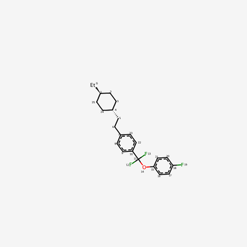 CC[C@H]1CC[C@H](CCc2ccc(C(F)(F)Oc3ccc(F)cc3)cc2)CC1